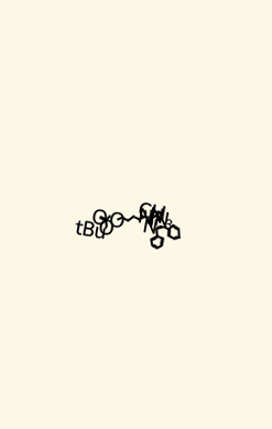 CN(CCCCOCC(=O)OC(C)(C)C)c1nnc(-c2ccccc2)c(-c2ccccc2)n1